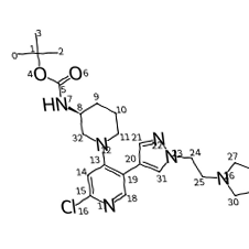 CC(C)(C)OC(=O)N[C@H]1CCCN(c2cc(Cl)ncc2-c2cnn(CCN3CCCC3)c2)C1